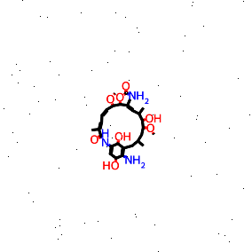 COC1/C=C\C=C(/C)C(=O)NC2=CC(O)C(N)=C(CC(C)CC(OC)C(O)C(C)/C=C(\C)C1OC(N)=O)C2O